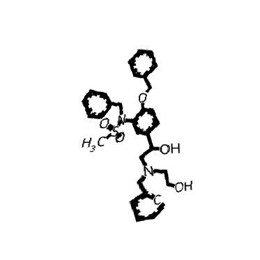 CS(=O)(=O)N(Cc1ccccc1)c1cc(C(O)CN(CCO)Cc2ccccc2)ccc1OCc1ccccc1